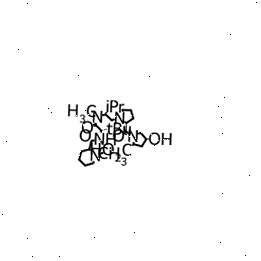 CC(C)[C@@H](CN1CCC[C@H]1C(=O)N1C[C@H](O)CC1C(=O)O)N(C)C(=O)[C@@H](NC(=O)C1CCCCN1C)C(C)(C)C